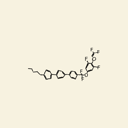 CCCCCc1ccc(-c2ccc(-c3ccc(C(F)(F)Oc4cc(F)c(OC=C(F)F)c(F)c4)cc3)cc2)cc1